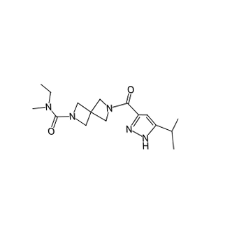 CCN(C)C(=O)N1CC2(CN(C(=O)c3cc(C(C)C)[nH]n3)C2)C1